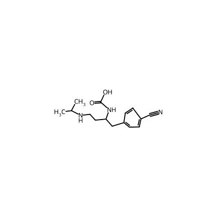 CC(C)NCCC(Cc1ccc(C#N)cc1)NC(=O)O